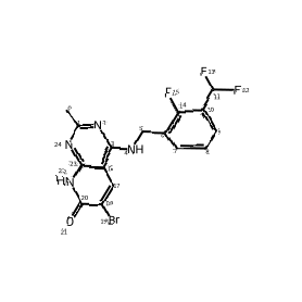 Cc1nc(NCc2cccc(C(F)F)c2F)c2cc(Br)c(=O)[nH]c2n1